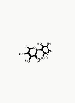 CCC1OC(C2C(OC)OC(CC)C(O)C2O)C(O)C(O)C1O